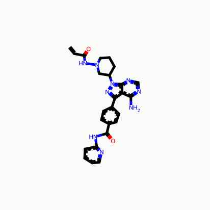 C=CC(=O)NN1CCCC(n2nc(-c3ccc(C(=O)Nc4ccccn4)cc3)c3c(N)ncnc32)C1